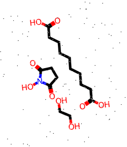 O=C(O)CCCCCCCCC(=O)O.O=C1CCC(=O)N1O.OCCO